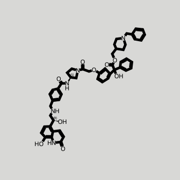 O=C(N[C@H]1CCN(C(=O)COc2cccc(C(O)(C(=O)OCC3CCN(Cc4ccccc4)CC3)c3ccccc3)c2)C1)c1ccc(CNC[C@H](O)c2ccc(O)c3[nH]c(=O)ccc23)cc1